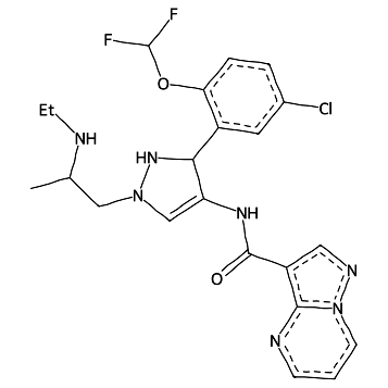 CCNC(C)CN1C=C(NC(=O)c2cnn3cccnc23)C(c2cc(Cl)ccc2OC(F)F)N1